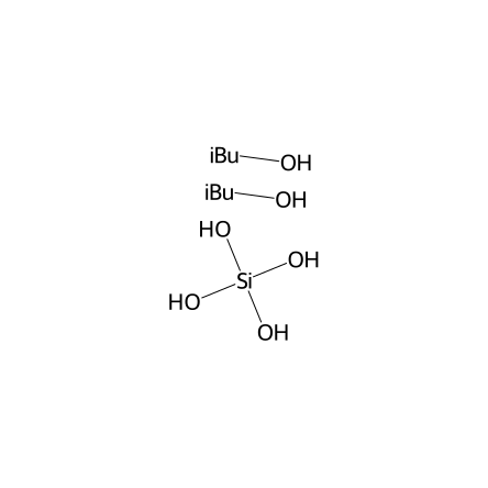 CCC(C)O.CCC(C)O.O[Si](O)(O)O